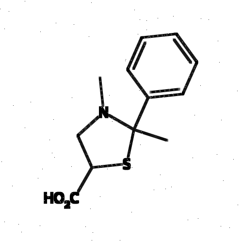 CN1CC(C(=O)O)SC1(C)c1ccccc1